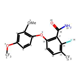 COc1cc(OC(F)(F)F)ccc1Oc1ccc(C(F)(F)F)c(F)c1C(N)=O